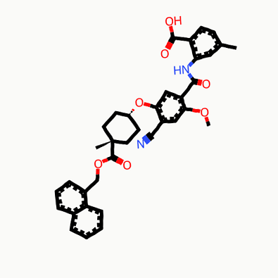 COc1cc(C#N)c(O[C@H]2CC[C@@](C)(C(=O)OCc3cccc4ccccc34)CC2)cc1C(=O)Nc1cc(C)ccc1C(=O)O